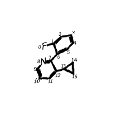 Fc1ccccc1-c1nc[c]cc1C1CC1